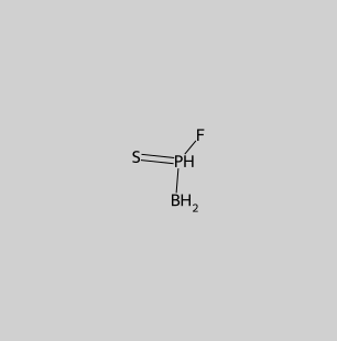 B[PH](F)=S